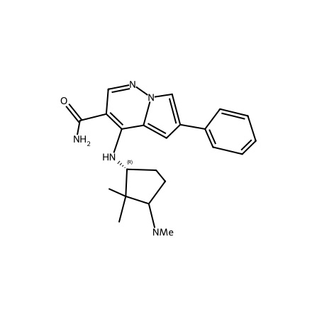 CNC1CC[C@@H](Nc2c(C(N)=O)cnn3cc(-c4ccccc4)cc23)C1(C)C